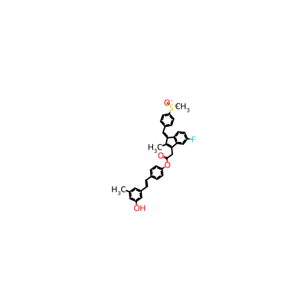 CC1=C(CC(=O)Oc2ccc(/C=C/c3cc(C)cc(O)c3)cc2)c2cc(F)ccc2/C1=C\c1ccc([S+](C)[O-])cc1